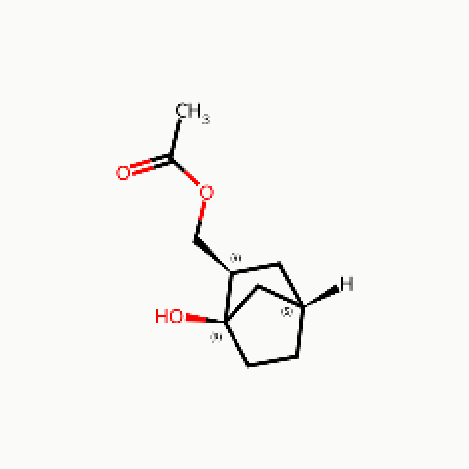 CC(=O)OC[C@H]1C[C@@H]2CC[C@@]1(O)C2